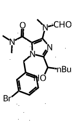 CCCCC(O)c1nc(N(C)C=O)c(C(=O)N(C)C)n1Cc1cccc(Br)c1